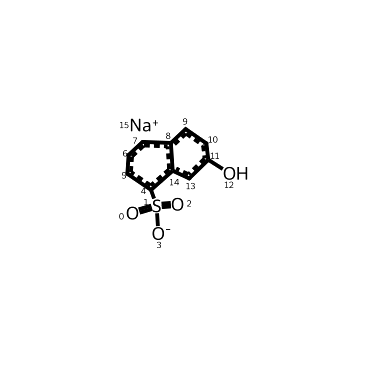 O=S(=O)([O-])c1cccc2ccc(O)cc12.[Na+]